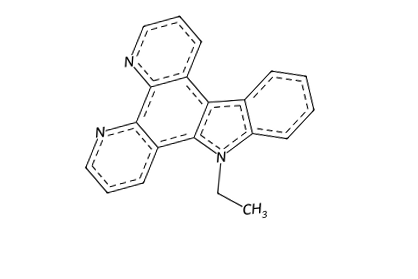 CCn1c2ccccc2c2c3cccnc3c3ncccc3c21